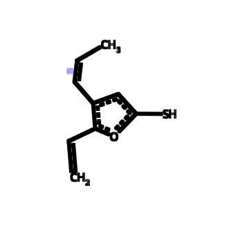 C=Cc1oc(S)cc1/C=C\C